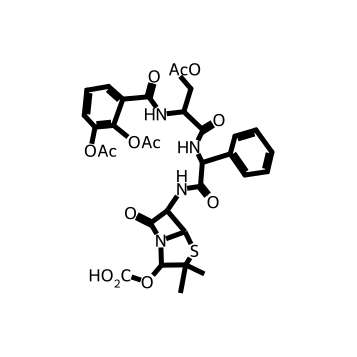 CC(=O)OCC(NC(=O)c1cccc(OC(C)=O)c1OC(C)=O)C(=O)NC(C(=O)NC1C(=O)N2C1SC(C)(C)C2OC(=O)O)c1ccccc1